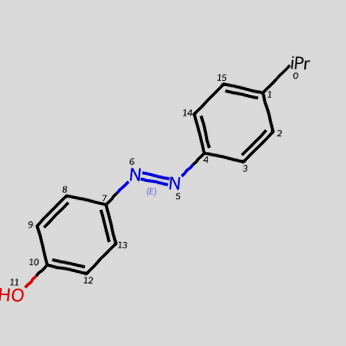 CC(C)c1ccc(/N=N/c2ccc(O)cc2)cc1